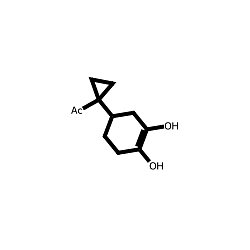 CC(=O)C1(C2CCC(O)=C(O)C2)CC1